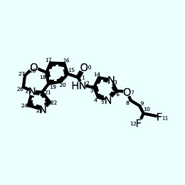 O=C(Nc1cnc(OCCC(F)F)nc1)c1ccc2c(c1)-c1cncn1CCO2